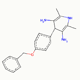 CC1=C(N)C(c2ccc(OCc3ccccc3)cc2)C(N)=C(C)N1